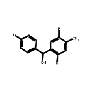 Cc1cc(Br)c(C(O)c2ccc(F)cc2)cc1F